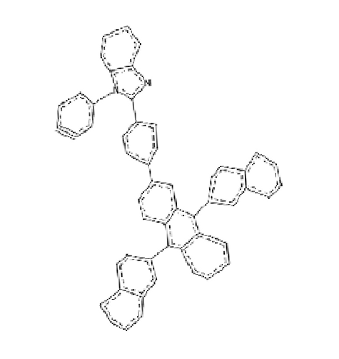 c1ccc(-n2c(-c3ccc(-c4ccc5c(-c6ccc7ccccc7c6)c6ccccc6c(-c6ccc7ccccc7c6)c5c4)cc3)nc3ccccc32)cc#1